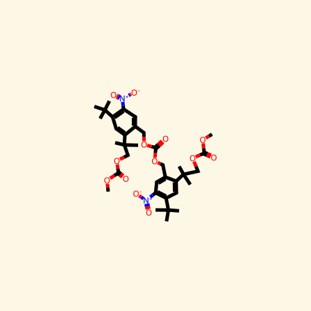 COC(=O)OCC(C)(C)c1cc(C(C)(C)C)c([N+](=O)[O-])cc1COC(=O)OCc1cc([N+](=O)[O-])c(C(C)(C)C)cc1C(C)(C)COC(=O)OC